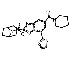 O=C(c1cc(-c2nccs2)c2oc(N3CC4CCC(C3)N4C(=O)O)nc2c1)N1CCCCC1